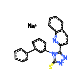 S=c1[n-]nc(-c2ccc3ccccc3n2)n1-c1cccc(-c2ccccc2)c1.[Na+]